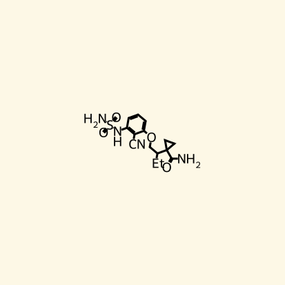 CCC(COc1cccc(NS(N)(=O)=O)c1C#N)C1(C(N)=O)CC1